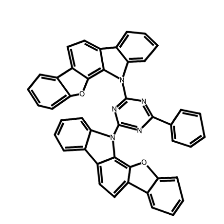 c1ccc(-c2nc(-n3c4ccccc4c4ccc5c6ccccc6oc5c43)nc(-n3c4ccccc4c4ccc5c6ccccc6oc5c43)n2)cc1